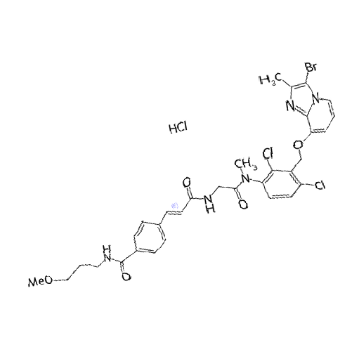 COCCCNC(=O)c1ccc(/C=C/C(=O)NCC(=O)N(C)c2ccc(Cl)c(COc3cccn4c(Br)c(C)nc34)c2Cl)cc1.Cl